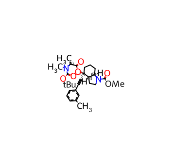 COC(=O)N1CC[C@@H]2[C@H]1CCC[C@]2(C#Cc1cccc(C)c1)OC(=O)[C@H](C)N(C)C(=O)OC(C)(C)C